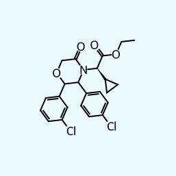 CCOC(=O)[C@@H](C1CC1)N1C(=O)COC(c2cccc(Cl)c2)C1c1ccc(Cl)cc1